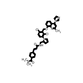 Cc1cc(-n2ccnc2)c2cccc(OCc3c(Cl)ccc(-n4cccc4CNC(=O)/C=C/c4ccc(C(=O)N(C)C)cc4)c3Cl)c2n1